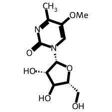 COc1cn([C@@H]2O[C@H](CO)C(O)[C@@H]2O)c(=O)nc1C